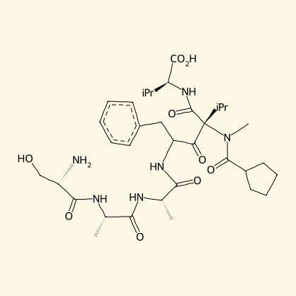 CC(C)[C@H](NC(=O)[C@](C(=O)C(Cc1ccccc1)NC(=O)[C@H](C)NC(=O)[C@H](C)NC(=O)[C@@H](N)CO)(C(C)C)N(C)C(=O)C1CCCC1)C(=O)O